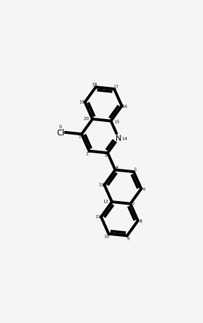 Clc1cc(-c2ccc3ccccc3c2)nc2ccccc12